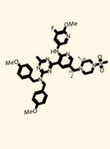 COc1ccc(CN(Cc2ccc(OC)cc2)c2nc(C)nc(-c3cc([C@@H](C)N4CCN(S(C)(=O)=O)C[C@H]4C)cnc3Nc3cnc(OC)c(F)c3)n2)cc1